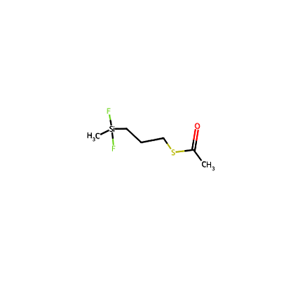 CC(=O)SCCC[Si](C)(F)F